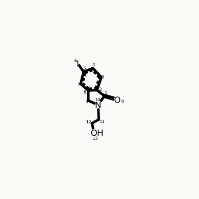 O=C1c2ccc(I)cc2CN1CCO